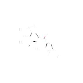 CSc1cc(C(=O)c2cc(C(C)(C)C)c(O)c(C(C)(C)C)c2)cn1[S+](C)[O-]